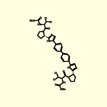 CCC(CC)[C@H](NC(=O)OC)C(=O)N1CCC[C@H]1c1ncc(-c2ccc(-c3ccc(-c4cnc([C@@H]5CCCN5C(=O)[C@@H](NC(=O)OC)C(CC)CC)[nH]4)cc3)cc2)[nH]1